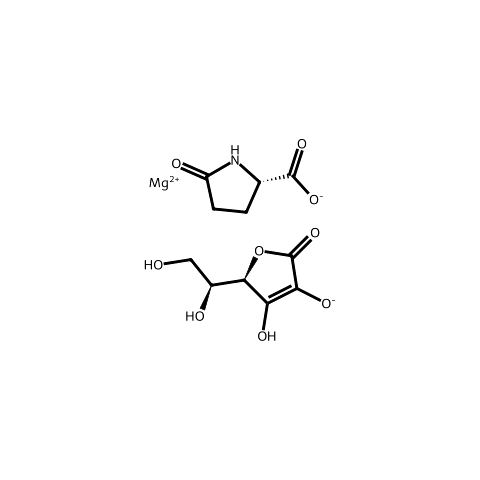 O=C1CC[C@@H](C(=O)[O-])N1.O=C1O[C@H]([C@@H](O)CO)C(O)=C1[O-].[Mg+2]